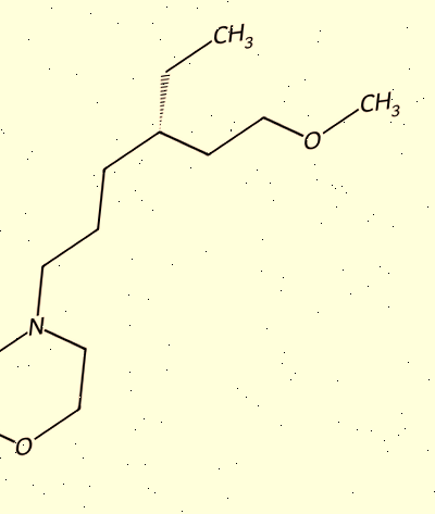 CC[C@@H](CCCN1CCOCC1)CCOC